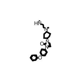 CNCCN(C)C1CCC(n2ccn(-c3ccc(Oc4ccccc4)cc3)c2=O)CC1